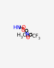 CC1COc2cc(C(F)(F)F)ccc2N1c1cccc(OC(=O)C2CNC2)c1